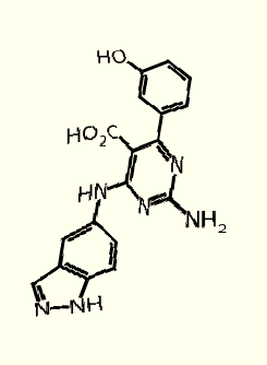 Nc1nc(Nc2ccc3[nH]ncc3c2)c(C(=O)O)c(-c2cccc(O)c2)n1